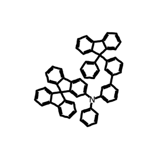 c1ccc(N(c2cccc(-c3cccc(C4(c5ccccc5)c5ccccc5-c5ccccc54)c3)c2)c2ccc3c(c2)C2(c4ccccc4-c4ccccc42)c2ccccc2-3)cc1